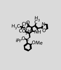 COc1ccccc1[C@H](Cc1cn(C(C)(C)C(=O)O)c(=O)c2c(C)c(-c3ncco3)[nH]c12)OC(C)C